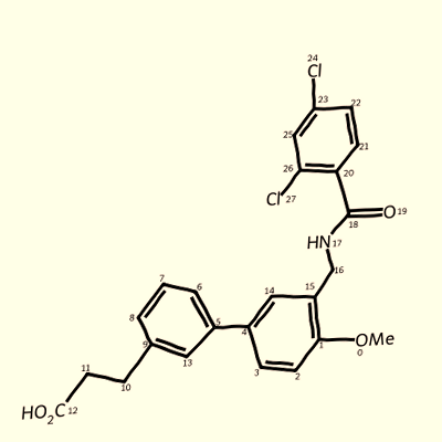 COc1ccc(-c2cccc(CCC(=O)O)c2)cc1CNC(=O)c1ccc(Cl)cc1Cl